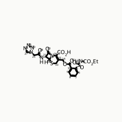 CCOC(=O)NS(=O)(=O)c1ccccc1C(=O)OCC1=C(C(=O)O)N2C(=O)[C@@H](NC(=O)Cn3cnnn3)[C@H]2SC1